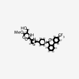 COC(=O)C(CO)NC(=O)c1csc(C2CCN(C(=O)c3ccccc3-c3ccc(C(F)(F)F)cc3)CC2)n1